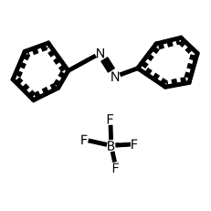 F[B-](F)(F)F.c1ccc(N=Nc2ccccc2)cc1